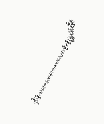 CN1CC(C(=O)NCCOCCOCCOCCOCCOCCOCCOCCOCCOCCOCCOCCOCCC(=O)NCCNC(=O)CCC(NC(=O)c2ccc(NCc3cnc4nc(N)[nH]c(=O)c4n3)cc2)C(=O)O)CC1=O